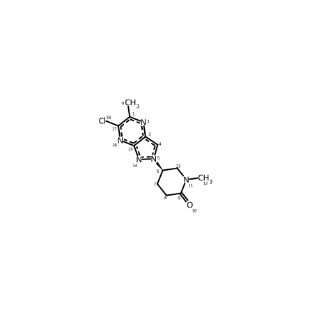 Cc1nc2cn([C@@H]3CCC(=O)N(C)C3)nc2nc1Cl